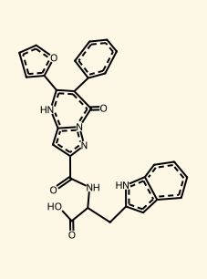 O=C(NC(Cc1cc2ccccc2[nH]1)C(=O)O)c1cc2[nH]c(-c3ccco3)c(-c3ccccc3)c(=O)n2n1